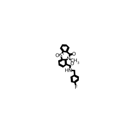 CN1C(=O)c2ccccc2[S+]([O-])c2cccc(C(=O)NCc3ccc(F)cc3)c21